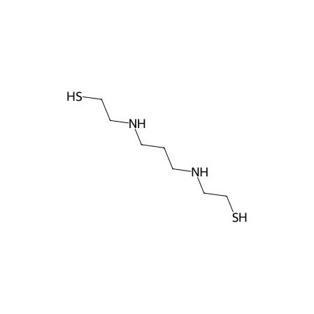 SCCNCCCNCCS